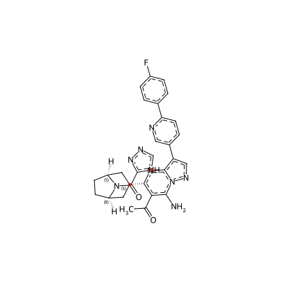 CC(=O)c1c([C@@H]2C[C@H]3CC[C@@H](C2)N3C(=O)c2nnc[nH]2)nc2c(-c3ccc(-c4ccc(F)cc4)nc3)cnn2c1N